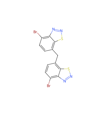 Brc1ccc(Cc2ccc(Br)c3nnsc23)c2snnc12